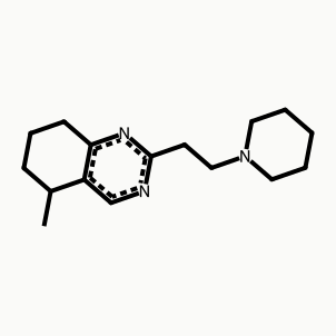 CC1CCCc2nc(CCN3CCCCC3)ncc21